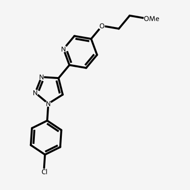 COCCOc1ccc(-c2cn(-c3ccc(Cl)cc3)nn2)nc1